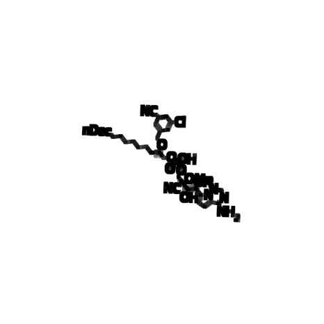 CCCCCCCCCCCCCCCCC[C@H](COP(=O)(O)OC[C@@](C#N)(OC)[C@@H](O)[C@@H](O)c1ccc2c(N)ncnn12)OCc1cc(Cl)cc(C#N)c1